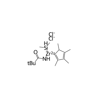 CC1=C(C)C(C)[C]([Zr+2]([NH]C(=O)C(C)(C)C)[SiH](C)C)=C1C.[Cl-].[Cl-]